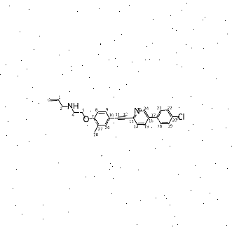 C=CCNCCOc1ccc(C#Cc2ccc(-c3ccc(Cl)cc3)cn2)cc1C